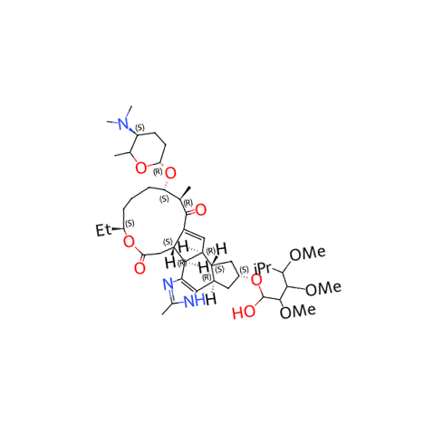 CC[C@H]1CCC[C@H](O[C@H]2CC[C@H](N(C)C)C(C)O2)[C@@H](C)C(=O)C2=C[C@H]3[C@@H]4C[C@H](OC(O)C(OC)C(OC)C(OC)C(C)C)C[C@H]4c4[nH]c(C)nc4[C@H]3[C@@H]2CC(=O)O1